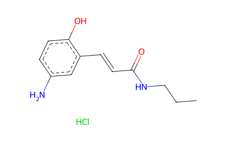 CCCNC(=O)/C=C/c1cc(N)ccc1O.Cl